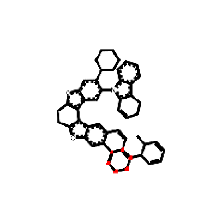 CC1C=CC=CC1C1=C(/C=C\c2cc3c4c(oc3cc2C2CCCCC2)CCc2oc3cc(C5CCCCC5)c(-n5c6c(c7ccccc75)CCC=C6)cc3c2-4)C=CCC1